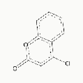 O=c1cc(Cl)c2ccccc2o1